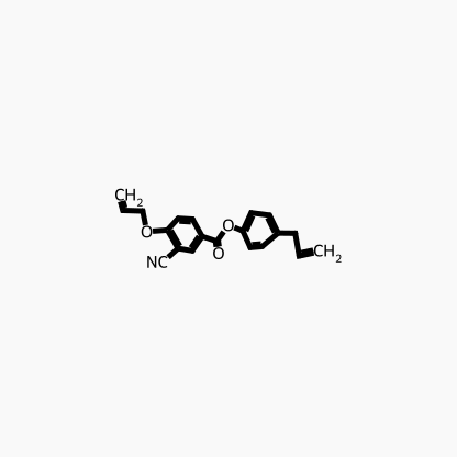 C=CCOc1ccc(C(=O)Oc2ccc(CC=C)cc2)cc1C#N